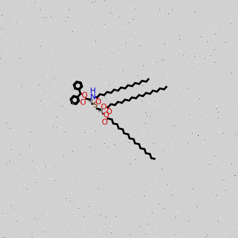 CCCCCCCCCCCCCCCCCC(=O)OC[C@H](CSC[C@@H](NC(=O)CCCCCCCCCCCCCCC)C(=O)OC(c1ccccc1)c1ccccc1)OC(=O)CCCCCCCCCCCCCCCCC